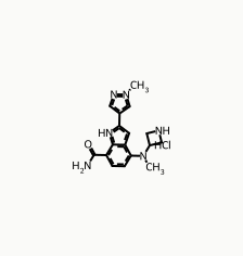 CN(c1ccc(C(N)=O)c2[nH]c(-c3cnn(C)c3)cc12)C1CNC1.Cl